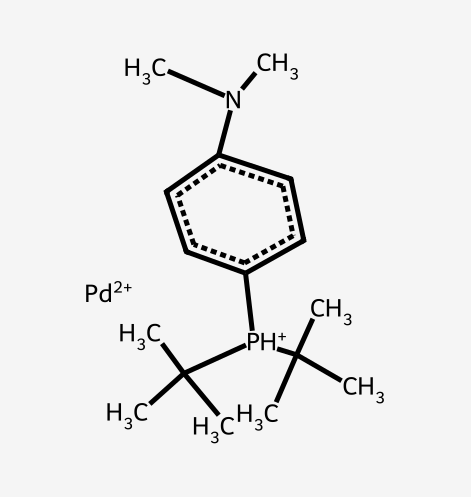 CN(C)c1ccc([PH+](C(C)(C)C)C(C)(C)C)cc1.[Pd+2]